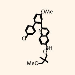 COCC(C)(C)COBc1ccc2nc(-c3cc(OC)ccc3-c3ccc(Cl)cc3)ccc2c1